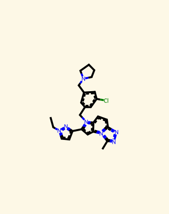 CCn1ccc(-c2cc3c(ccc4nnc(C)n43)n2Cc2cc(Cl)cc(CN3CCCC3)c2)n1